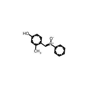 Cc1cc(O)ccc1C=[N+]([O-])c1ccccc1